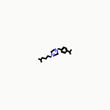 CC(C)CCCCN1CCN(Cc2ccc(C(C)C)cc2)CC1